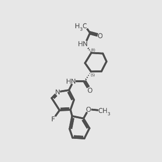 COc1ccccc1-c1cc(NC(=O)[C@H]2CCC[C@@H](NC(C)=O)C2)ncc1F